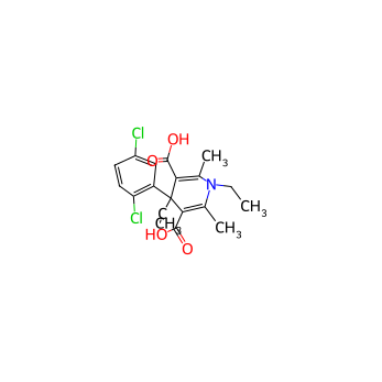 CCN1C(C)=C(C(=O)O)C(CC)(c2cc(Cl)ccc2Cl)C(C(=O)O)=C1C